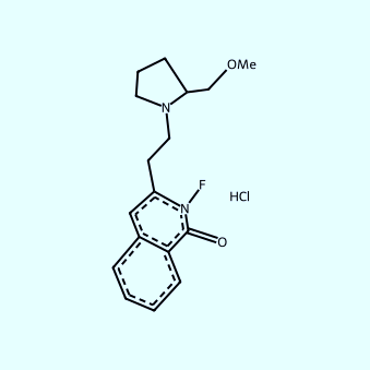 COCC1CCCN1CCc1cc2ccccc2c(=O)n1F.Cl